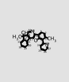 Cc1ccc2c(oc3c4c(cnc32)C(C)(C)c2ccccc2-4)c1-c1ccccn1